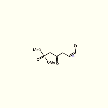 CC/C=C\CC(=O)CP(=O)(OC)OC